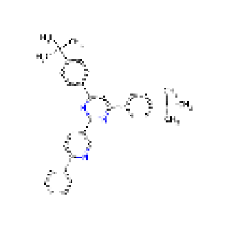 CC(C)(C)c1ccc(-c2cc(-c3ccc(C(C)(C)C)cc3)nc(-c3ccc(-c4ccccc4)nc3)n2)cc1